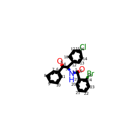 O=C(NC(C(=O)c1ccccc1)c1ccc(Cl)cc1)c1ccccc1Br